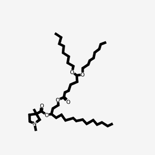 CCCCCCCCCCCCC(CCOC(=O)CCCCC(OCCCCCCCC)OCCCCCCCC)OC(=O)C1(C)CCN(C)C1